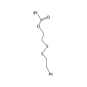 CC(=O)CCSSCCOC(=O)C(C)C